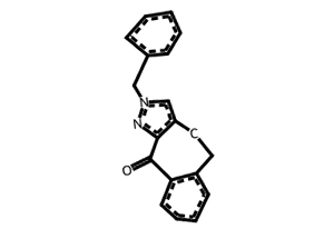 O=C1c2ccccc2CCc2cn(Cc3ccccc3)nc21